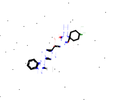 Cc1nc2ccccc2n1-c1cnc(C(=O)CN2C(=O)NC3(CCC(F)(F)CC3)C2=O)cn1